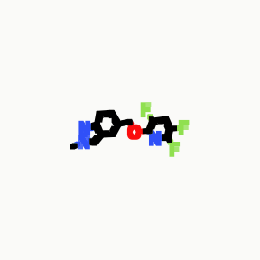 Cn1cc2cc(COc3nc(F)c(F)cc3F)ccc2n1